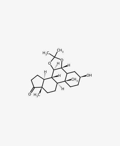 CC1(C)O[C@@H]2[C@@H]3[C@H](CC[C@]4(C)C(=O)CC[C@@H]34)[C@@]3(C)CC[C@H](O)CC3[C@H]2O1